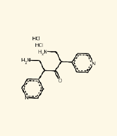 Cl.Cl.NCC(C(=O)C(CN)c1ccncc1)c1ccncc1